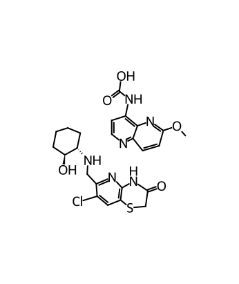 COc1ccc2nccc(NC(=O)O)c2n1.O=C1CSc2cc(Cl)c(CN[C@H]3CCCC[C@@H]3O)nc2N1